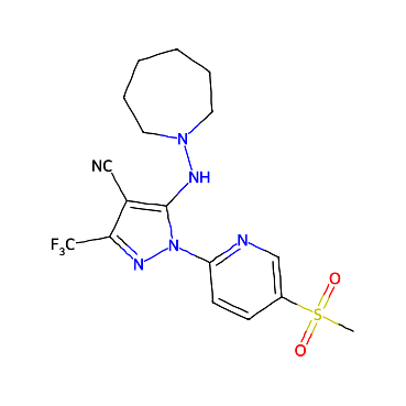 CS(=O)(=O)c1ccc(-n2nc(C(F)(F)F)c(C#N)c2NN2CCCCCC2)nc1